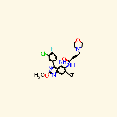 COc1nc(-c2ccc(F)c(Cl)c2)c2c(N)c(NC(=O)C#CCN3CCOCC3)c(C3CC3)cc2n1